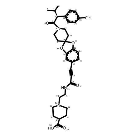 CC(C)[C@H](C(=O)N1CCC2(CC1)Oc1ccc(C#CC(=O)NCCN3CCC(C(=O)O)CC3)cc1O2)c1ccc(Cl)cc1